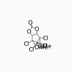 COC1(OC)C2(Cl)C(Cl)=C(Cl)C1(Cl)C1OC(=O)OC12